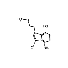 COCCn1cc(Cl)c2c(N)cccc21.Cl